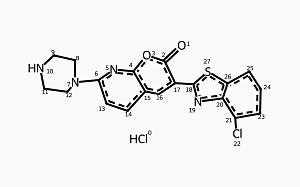 Cl.O=c1oc2nc(N3CCNCC3)ccc2cc1-c1nc2c(Cl)cccc2s1